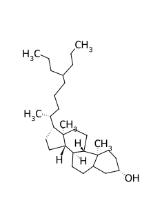 CCCC(CCC)CCC[C@@H](C)[C@H]1CC[C@H]2[C@@H]3CCC4C[C@@H](O)CC[C@]4(C)[C@H]3CC[C@]12C